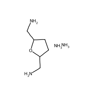 N.N.NCC1CCC(CN)O1